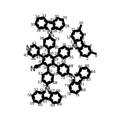 Cc1ccc2c(c1)c1cc(C)ccc1n2-c1ccc(-c2c(-c3ccc(-n4c5ccccc5c5ccccc54)cc3)c(-c3ccncc3)c(C#N)c(-c3ccc(-n4c5ccccc5c5ccccc54)cc3)c2-c2ccc(-n3c4ccccc4c4ccccc43)cc2)cc1